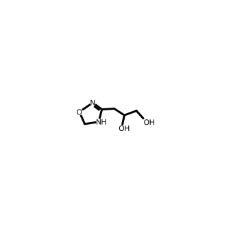 OCC(O)CC1=NOCN1